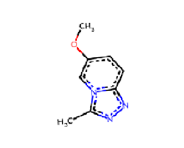 COc1ccc2nnc(C)n2c1